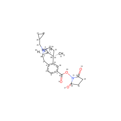 C[C@@H]1[C@H]2Cc3ccc(C(=O)ON4C(=O)CCC4=O)cc3[C@]1(C)CCN2CC1CC1